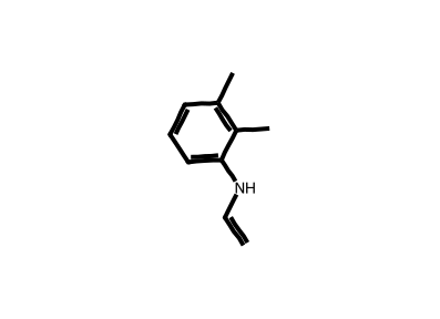 C=CNc1cccc(C)c1C